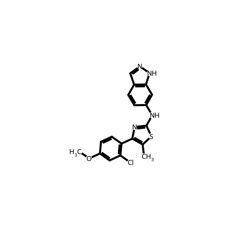 COc1ccc(-c2nc(Nc3ccc4cn[nH]c4c3)sc2C)c(Cl)c1